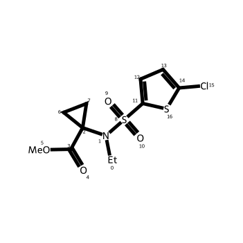 CCN(C1(C(=O)OC)CC1)S(=O)(=O)c1ccc(Cl)s1